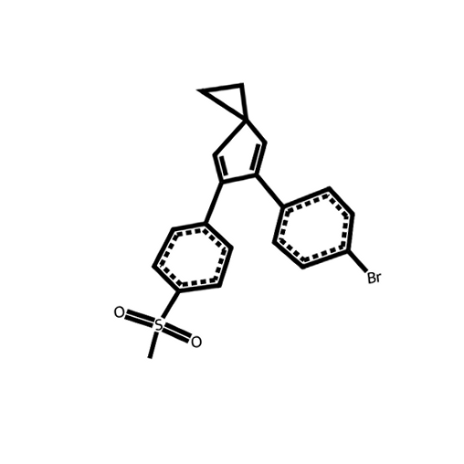 CS(=O)(=O)c1ccc(C2=CC3(C=C2c2ccc(Br)cc2)CC3)cc1